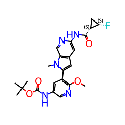 COc1ncc(NC(=O)OC(C)(C)C)cc1-c1cc2cc(NC(=O)[C@@H]3C[C@@H]3F)ncc2n1C